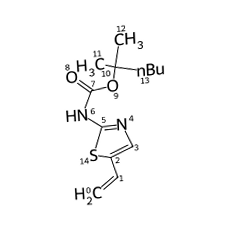 C=Cc1cnc(NC(=O)OC(C)(C)CCCC)s1